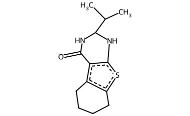 CC(C)C1NC(=O)c2c(sc3c2CCCC3)N1